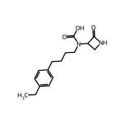 CCc1ccc(CCCCN(C(=O)O)C2CNC2=O)cc1